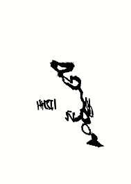 CN(C)Cc1cc2c(CCC3CCN(Cc4ccccc4)CC3)noc2cc1OCC1CC1.Cl.Cl